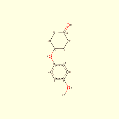 COc1ccc(OC2CCC(=O)CC2)cc1